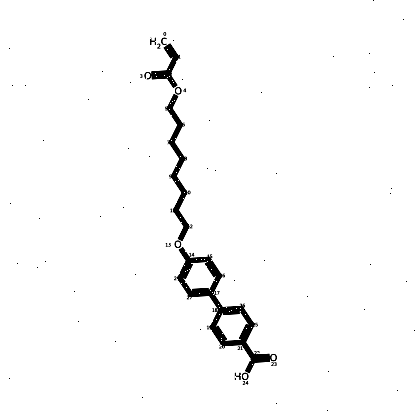 C=CC(=O)OCCCCCCCCOc1ccc(-c2ccc(C(=O)O)cc2)cc1